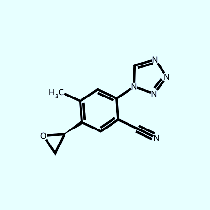 Cc1cc(-n2cnnn2)c(C#N)cc1[C@H]1CO1